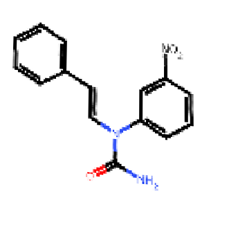 NC(=O)N(C=Cc1ccccc1)c1cccc([N+](=O)[O-])c1